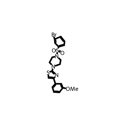 COc1cccc(-c2csc(N3CCN(S(=O)(=O)c4cccc(Br)c4)CC3)n2)c1